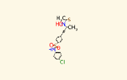 CC(=S)N(O)C(C)C#Cc1ccc(S(=O)(=O)Nc2ccc(Cl)cc2)cc1